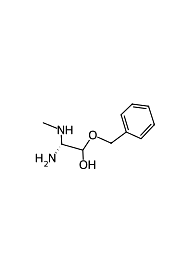 CN[C@@H](N)C(O)OCc1ccccc1